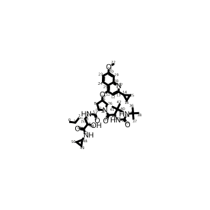 CCC[C@H](NC(=O)[C@@H]1CC(Oc2cc(C3CC3)nc3cc(OC)ccc23)CN1C(=O)[C@@H](NC(=O)NC(C)(C)C)C(C)(C)C)C(O)C(=O)NC1CC1